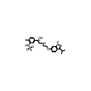 CC(C)c1n[nH]c2cc(OCCNC[C@H](O)c3ccc(I)c(NS(C)(=O)=O)c3)ccc12